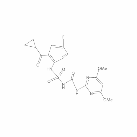 COc1cc(OC)nc(NC(=O)NS(=O)(=O)Nc2ccc(F)cc2C(=O)C2CC2)n1